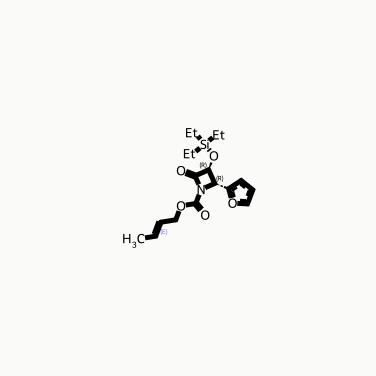 C/C=C/COC(=O)N1C(=O)[C@H](O[Si](CC)(CC)CC)[C@@H]1c1ccco1